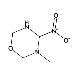 CN1COCNC1[N+](=O)[O-]